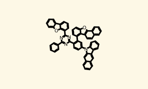 c1ccc(-c2nc(-c3ccc(-n4c5ccccc5c5cc6ccccc6cc54)cc3-c3cccc4oc5c6ccccc6ccc5c34)nc(-c3cccc4c3oc3ccccc34)n2)cc1